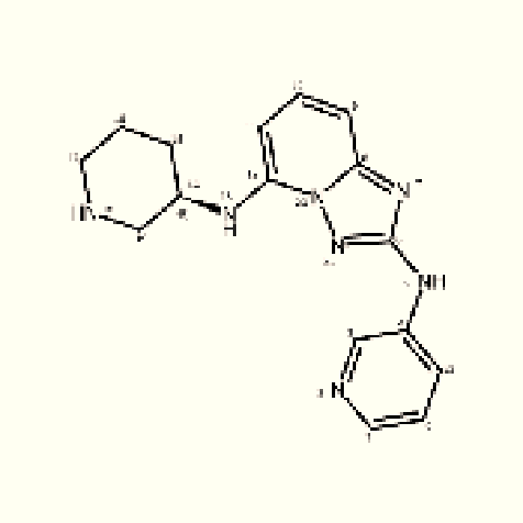 c1cncc(Nc2nc3cccc(N[C@@H]4CCCNC4)n3n2)c1